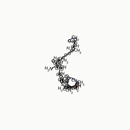 COc1cc2cc(c1Cl)N(C)C(=O)C[C@H](OC(=O)[C@H](C)N(C)C(=O)CCSC1CC(=O)N(CC3CCC(C(=O)NCCCC(NC(=O)[C@H](CCCCN)NC(=O)C(Cc4ccccc4)NC(=O)CC(C)(C)COCCOCCOCCOCC(C)(C)CC(=O)NCC(=O)N4Cc5ccccc5/C=C(/C)C5C=CC=CC54)C(=O)O)CC3)C1=O)[C@@H]1O[C@H]1[C@H](C)[C@@H]1C[C@@](O)(NC(=O)O1)[C@H](OC)/C=C/C=C(\C)C2